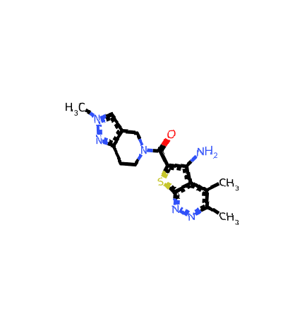 Cc1nnc2sc(C(=O)N3CCc4nn(C)cc4C3)c(N)c2c1C